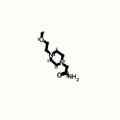 COCCN1CCN(CC(N)=O)CC1